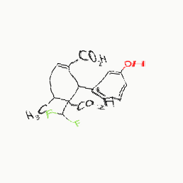 CC1CC=C(C(=O)O)C(c2cccc(O)c2)C1(C(=O)O)C(F)F